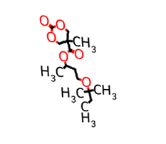 CCC(C)(C)OCCC(C)OC(=O)C1(C)COC(=O)OC1